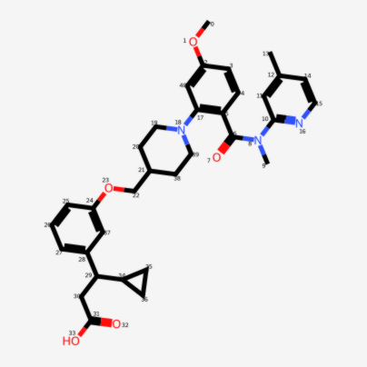 COc1ccc(C(=O)N(C)c2cc(C)ccn2)c(N2CCC(COc3cccc(C(CC(=O)O)C4CC4)c3)CC2)c1